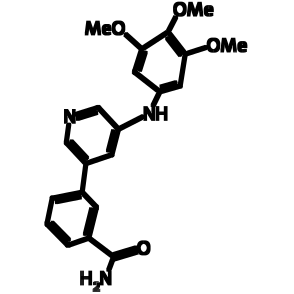 COc1cc(Nc2cncc(-c3cccc(C(N)=O)c3)c2)cc(OC)c1OC